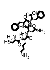 NCCCC[C@H](NC(=O)[C@@H](N)CS)C(=O)N[C@@H](CC(N)=O)C(=O)N[C@@H](Cc1ccccc1)C(=O)N[C@@H](Cc1ccccc1)C(=O)O